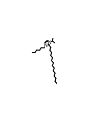 CCCCCCCCCCCCCCCc1n(C(C)C)cc[n+]1CCCCCC